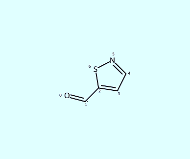 O=[C]c1ccns1